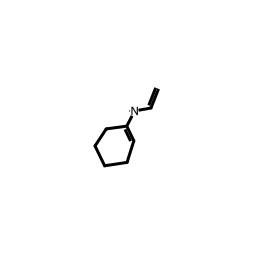 C=C[N]C1=CCCCC1